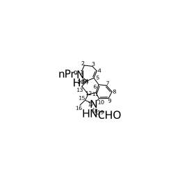 CCCN1CCC=C2c3cccc4c3C(C[C@H]21)C(C)N4NC=O